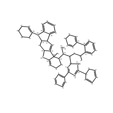 CC(CC(C1N=C(c2ccccc2)N=C(C2C=CC=CC2)N1)C(N)C1CCC=C2SC3CC4C(C=C3C21C)c1ccccc1N4C1=CCCCC1)c1ccccc1C1=CCCC=C1